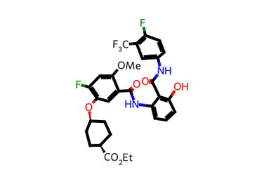 CCOC(=O)[C@H]1CC[C@@H](Oc2cc(C(=O)Nc3cccc(O)c3C(=O)Nc3ccc(F)c(C(F)(F)F)c3)c(OC)cc2F)CC1